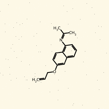 C=CCOc1ccc2c(N=C(C)C)cccc2c1